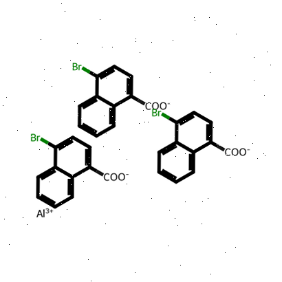 O=C([O-])c1ccc(Br)c2ccccc12.O=C([O-])c1ccc(Br)c2ccccc12.O=C([O-])c1ccc(Br)c2ccccc12.[Al+3]